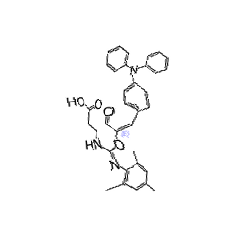 Cc1cc(C)c(N=C(NCCC(=O)O)O/C(C=O)=C/c2ccc(N(c3ccccc3)c3ccccc3)cc2)c(C)c1